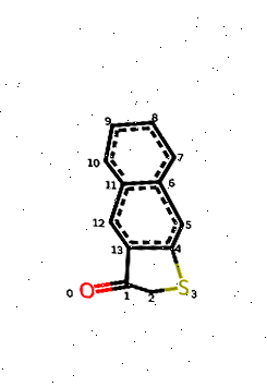 O=C1CSc2cc3ccccc3cc21